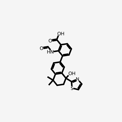 CC1(C)CCC(O)(c2nccs2)c2cc(-c3cccc(C(=O)O)c3NC=O)ccc21